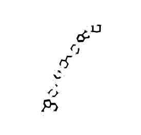 C[C@@H]1CN(c2ccc(C#N)c3ncccc23)[C@@H](C)CN1C(=O)Nc1cnc(N2CCC(CCN3CCN(c4ccc5c(c4)C(=O)N(C4CCC(=O)NC4=O)C5=O)CC3)CC2)nc1